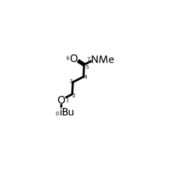 CCC(C)OCCCC(=O)NC